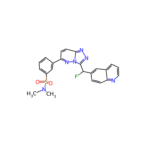 CN(C)S(=O)(=O)c1cccc(-c2ccc3nnc(C(F)c4ccc5ncccc5c4)n3n2)c1